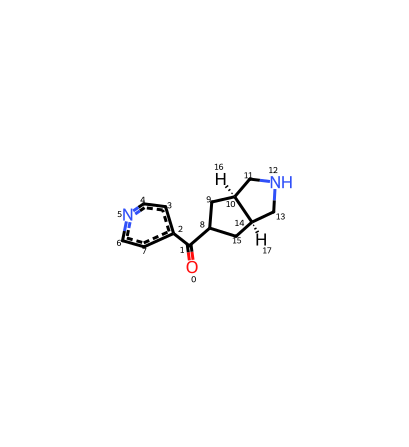 O=C(c1ccncc1)C1C[C@H]2CNC[C@H]2C1